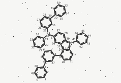 c1ccc(-c2cccc(-c3cccc4c3c3cc(N(c5ccccc5)c5cccc(-c6ccccc6)c5)ccc3n4-c3ccccc3)c2)cc1